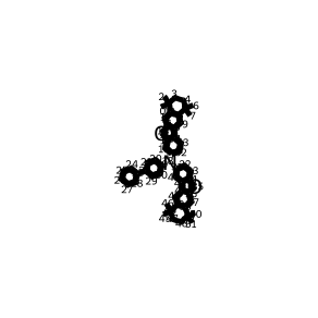 CC1(C)CCC(C)(C)c2cc3c(cc21)oc1cc(N(c2ccc(-c4ccccc4)cc2)c2ccc4oc5cc6c(cc5c4c2)C(C)(C)CCC6(C)C)ccc13